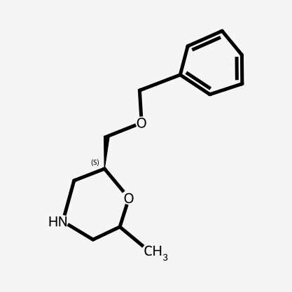 CC1CNC[C@@H](COCc2ccccc2)O1